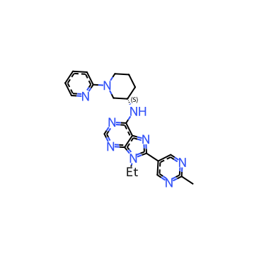 CCn1c(-c2cnc(C)nc2)nc2c(N[C@H]3CCCN(c4ccccn4)C3)ncnc21